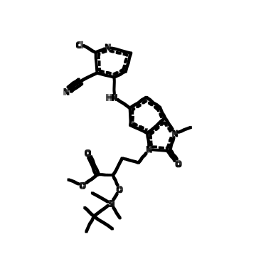 COC(=O)C(CCn1c(=O)n(C)c2ccc(Nc3ccnc(Cl)c3C#N)cc21)O[Si](C)(C)C(C)(C)C